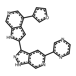 c1cnc(-c2cc3c(-c4cc5c(-c6ccoc6)cncc5[nH]4)n[nH]c3cn2)cn1